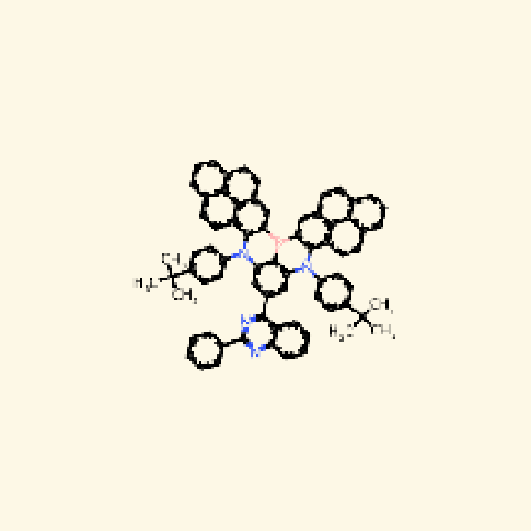 CC(C)(C)c1ccc(N2c3cc(-c4nc(-c5ccccc5)nc5ccccc45)cc4c3B(c3cc5ccc6cccc7ccc(c32)c5c67)c2cc3ccc5cccc6ccc(c2N4c2ccc(C(C)(C)C)cc2)c3c56)cc1